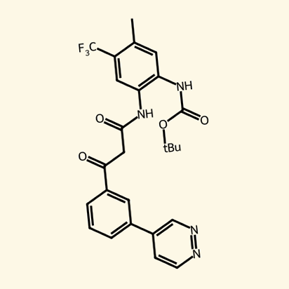 Cc1cc(NC(=O)OC(C)(C)C)c(NC(=O)CC(=O)c2cccc(-c3ccnnc3)c2)cc1C(F)(F)F